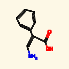 NC=C(C(=O)O)c1ccccc1